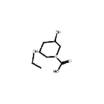 CCO.O=C(O)N1CCCC(O)C1